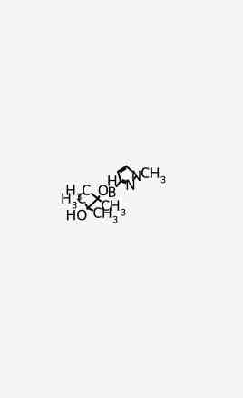 Cn1ccc(BOC(C)(C)C(C)(C)O)n1